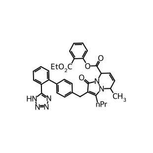 CCCc1c(Cc2ccc(-c3ccccc3-c3nnn[nH]3)cc2)c(=O)n2n1C(C)C=CC2C(=O)Oc1ccccc1C(=O)OCC